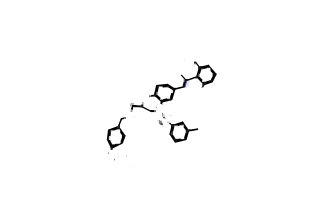 C/C(=C\c1ccc2c(c1)N(S(=O)(=O)c1cccc(C)c1)CC([C@@H](C)OC(=O)c1ccc([N+](=O)[O-])cc1)O2)c1c(F)cccc1Cl